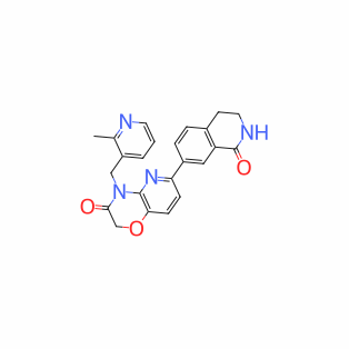 Cc1ncccc1CN1C(=O)COc2ccc(-c3ccc4c(c3)C(=O)NCC4)nc21